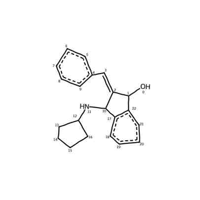 OC1/C(=C/c2ccccc2)C(NC2CCCC2)c2ccccc21